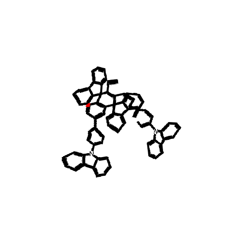 C=CC1=C(/C=C\CC(=C)/C=C\C(=C/C)n2c3ccccc3c3ccccc32)C2(c3ccccc3-c3ccccc32)c2cc(-c3ccc(-n4c5ccccc5c5ccccc54)cc3)ccc2C12c1ccccc1-c1ccccc12